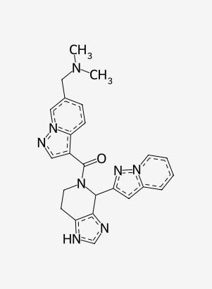 CN(C)Cc1ccc2c(C(=O)N3CCc4[nH]cnc4C3c3cc4ccccn4n3)cnn2c1